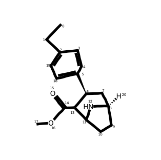 CCc1ccc([C@H]2C[C@H]3CCC(N3)C2C(=O)OC)cc1